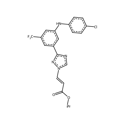 CC(C)OC(=O)/C=C/n1cnc(-c2cc(Nc3ccc(Cl)cc3)cc(C(F)(F)F)c2)n1